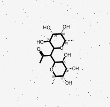 CC(=O)C(C1O[C@@H](C)[C@@H](O)[C@@H](O)[C@@H]1O)C1O[C@@H](C)[C@@H](O)[C@@H](O)[C@@H]1O